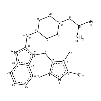 Cc1nc(Cl)n(C)c1Cn1c(NC2CCN(CC(N)C(C)C)CC2)nc2ccccc21